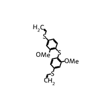 C=CSc1ccc(Sc2ccc(SC=C)cc2OC)c(OC)c1